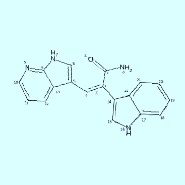 NC(=O)/C(=C\c1c[nH]c2ncccc12)c1c[nH]c2ccccc12